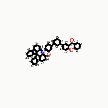 O=c1c2ccccc2oc2ccc(-c3cccc(-c4ccc5c(c4)Oc4cccc6c4N5c4ccccc4C6(c4ccccc4)c4ccccc4)c3)cc12